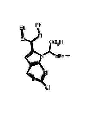 CCCCCC(C(=O)O)n1c(C(OCC)OCC)cc2cnc(Cl)nc21